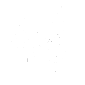 Fc1ccc2c(c1)C1(c3ccccc3-c3ccccc31)c1cccc(N(c3ccc(-c4ccccc4)cc3)c3ccc4c5ccccc5c5ccccc5c4c3)c1-2